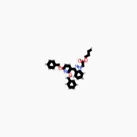 CCCCOC(=O)Cn1nc(-c2ccc(OCc3ccccc3)nc2OCc2ccccc2)c2ccccc21